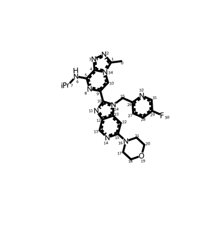 Cc1nnc2c(NC(C)C)nc(-c3nc4cnc(N5CCOCC5)cc4n3Cc3ccc(F)cn3)cn12